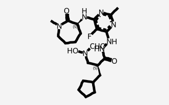 Cc1nc(NNC(=O)[C@@H](CC2CCCC2)CN(O)C=O)c(F)c(N[C@H]2CCCCN(C)C2=O)n1